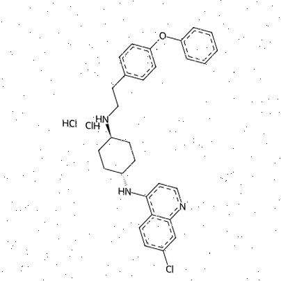 Cl.Cl.Clc1ccc2c(N[C@H]3CC[C@H](NCCc4ccc(Oc5ccccc5)cc4)CC3)ccnc2c1